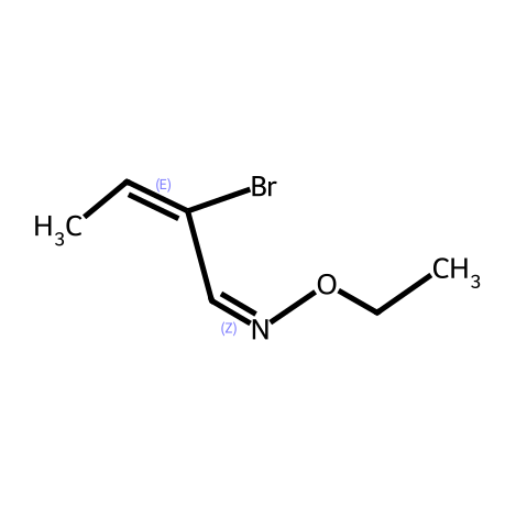 C/C=C(Br)\C=N/OCC